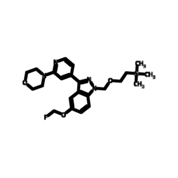 C[Si](C)(C)CCOCn1nc(-c2ccnc(N3CCOCC3)c2)c2cc(OCF)ccc21